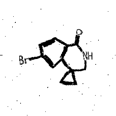 O=C1NCC2(CC2)c2cc(Br)ccc21